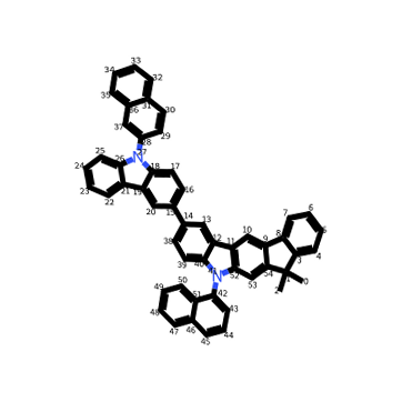 CC1(C)c2ccccc2-c2cc3c4cc(-c5ccc6c(c5)c5ccccc5n6-c5ccc6ccccc6c5)ccc4n(-c4cccc5ccccc45)c3cc21